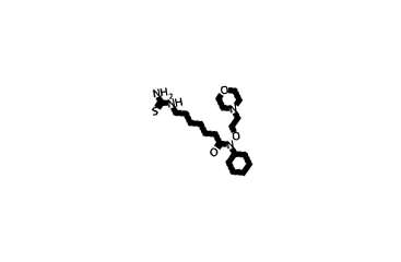 NC(=S)NCCCCCCC(=O)N(OCCN1CCOCC1)C1CCCCC1